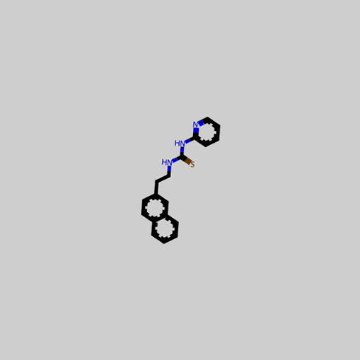 S=C(NCCc1ccc2ccccc2c1)Nc1ccccn1